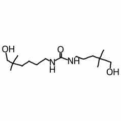 CC(C)(CO)CCCCNC(=O)NCCCC(C)(C)CO